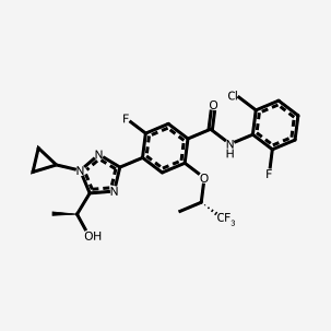 C[C@H](O)c1nc(-c2cc(O[C@@H](C)C(F)(F)F)c(C(=O)Nc3c(F)cccc3Cl)cc2F)nn1C1CC1